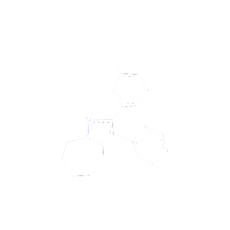 Brc1cccc(-c2nn3c(c2-c2ccncc2)SCCCC3)c1